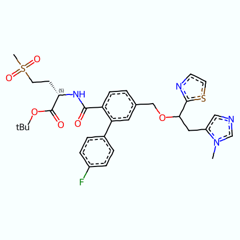 Cn1cncc1CC(OCc1ccc(C(=O)N[C@@H](CCS(C)(=O)=O)C(=O)OC(C)(C)C)c(-c2ccc(F)cc2)c1)c1nccs1